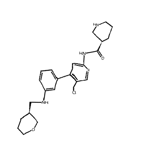 O=C(Nc1cc(-c2cccc(NC[C@@H]3CCCOC3)c2)c(Cl)cn1)[C@@H]1CCCNC1